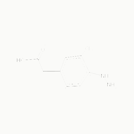 NNc1ccc(CC(=O)O)cc1Cl